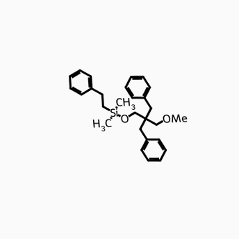 COCC(CO[Si](C)(C)CCc1ccccc1)(Cc1ccccc1)Cc1ccccc1